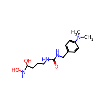 CN(C)c1ccc(CNC(=O)NCCCC(O)NO)cc1